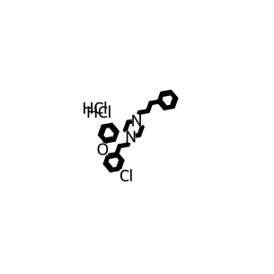 Cl.Cl.Clc1ccc(Oc2ccccc2)c(CCN2CCN(CCCc3ccccc3)CC2)c1